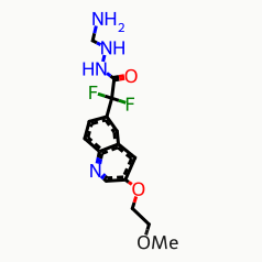 COCCOc1cnc2ccc(C(F)(F)C(=O)NNCN)cc2c1